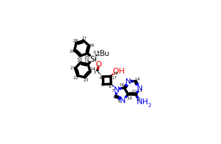 CC(C)(C)[Si](OC[C@H]1C[C@@H](n2cnc3c(N)ncnc32)[C@@H]1O)(c1ccccc1)c1ccccc1